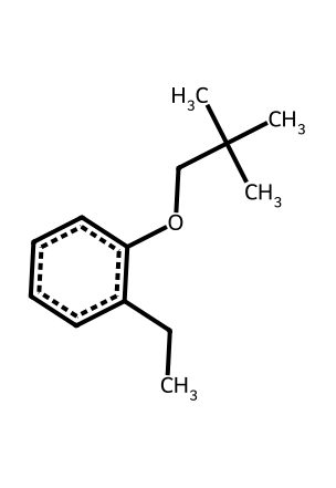 CCc1ccccc1OCC(C)(C)C